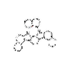 c1ccc(-n2c3ccc4ccccc4c3c3ccc4c5c6ccccc6ccc5n(-c5ccccc5)c4c32)cc1